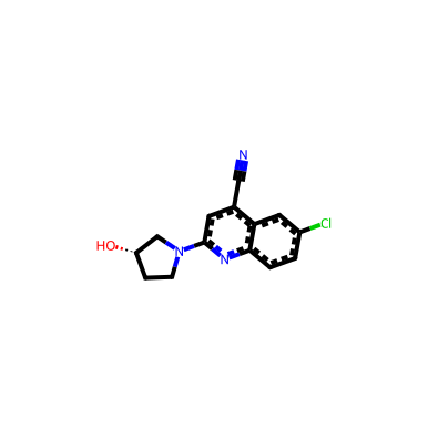 N#Cc1cc(N2CC[C@H](O)C2)nc2ccc(Cl)cc12